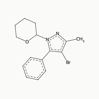 Cc1nn(C2CCCCO2)c(-c2ccccc2)c1Br